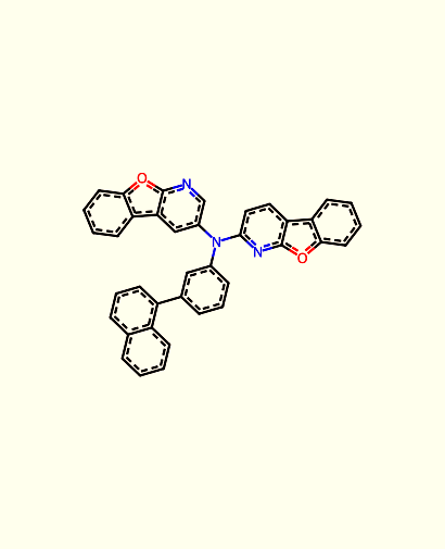 c1cc(-c2cccc3ccccc23)cc(N(c2cnc3oc4ccccc4c3c2)c2ccc3c(n2)oc2ccccc23)c1